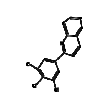 Clc1cc(-c2ccc3c[c]ccc3n2)cc(Cl)c1Cl